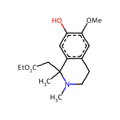 CCOC(=O)CC1(C)c2cc(O)c(OC)cc2CCN1C